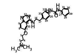 CN(C)CCCOc1ccc2ncnc(NCCc3ccc(NC(=O)Nc4ccccc4)cc3)c2c1